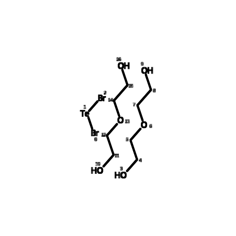 Br[Te]Br.OCCOCCO.OCCOCCO